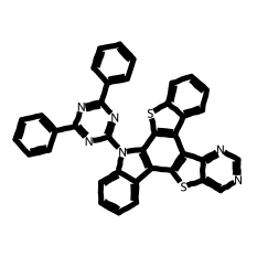 c1ccc(-c2nc(-c3ccccc3)nc(-n3c4ccccc4c4c5sc6cncnc6c5c5c6ccccc6sc5c43)n2)cc1